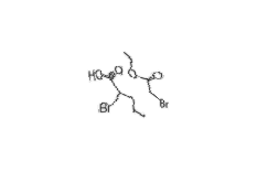 CCCC(Br)C(=O)O.CCOC(=O)CBr